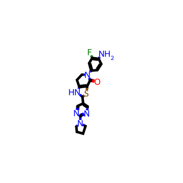 Nc1ccc(N2CCC3=C(SC(c4cnc(N5CCCC5)nc4)N3)C2=O)cc1F